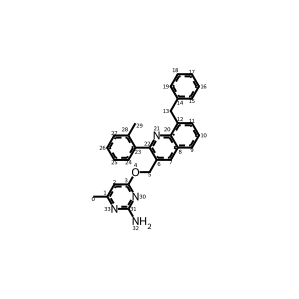 Cc1cc(OCc2cc3cccc(Cc4ccccc4)c3nc2-c2ccccc2C)nc(N)n1